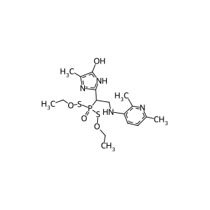 CCOSP(=O)(SOCC)C(CNc1ccc(C)nc1C)c1nc(C)c(O)[nH]1